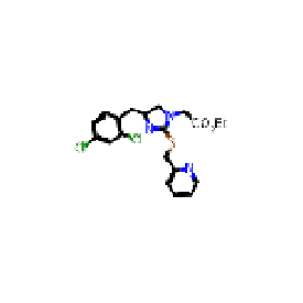 CCOC(=O)CN1CC(Cc2ccc(Cl)cc2Cl)N=C1SCc1ccccn1